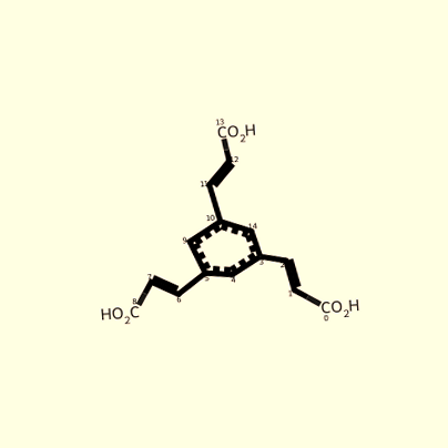 O=C(O)C=Cc1cc(C=CC(=O)O)cc(C=CC(=O)O)c1